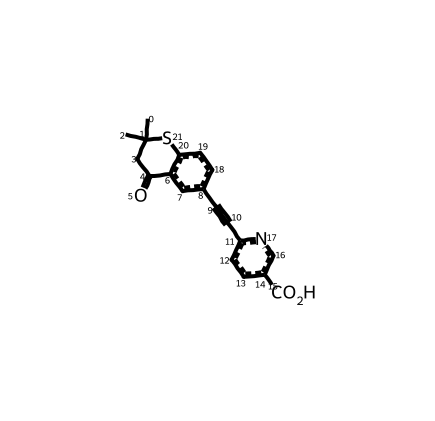 CC1(C)CC(=O)c2cc(C#Cc3ccc(C(=O)O)cn3)ccc2S1